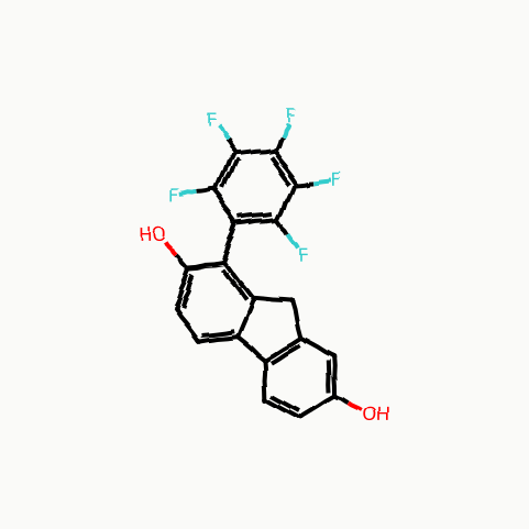 Oc1ccc2c(c1)Cc1c-2ccc(O)c1-c1c(F)c(F)c(F)c(F)c1F